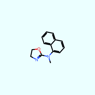 CN(C1=NCCO1)c1cccc2ccccc12